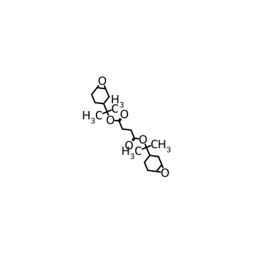 CC(C)(OC(=O)CCC(=O)OC(C)(C)C1CCC2OC2C1)C1CCC2OC2C1